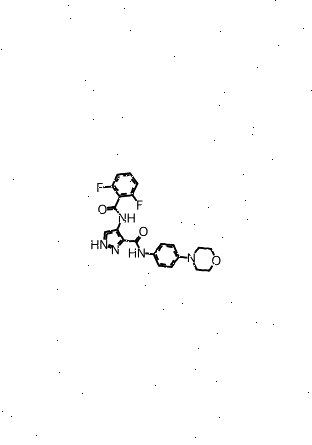 O=C(Nc1ccc(N2CCOCC2)cc1)c1n[nH]cc1NC(=O)c1c(F)cccc1F